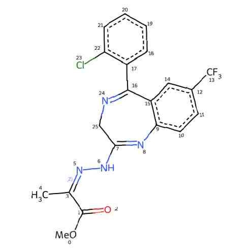 COC(=O)/C(C)=N\NC1=Nc2ccc(C(F)(F)F)cc2C(c2ccccc2Cl)=NC1